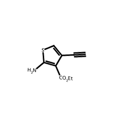 C#Cc1csc(N)c1C(=O)OCC